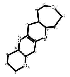 C1COC2CC3=C(CC4CCOCCC4O3)OC2C1